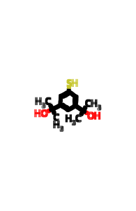 CC(C)(O)c1cc(S)cc(C(C)(C)O)c1